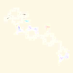 CN(c1ccc(-c2ccc(Cc3cnn(C)c3)cc2O)nn1)[C@H]1C[C@@H]2CC[C@@H](C2)[C@H]1F